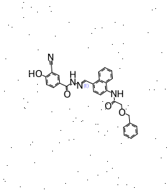 N#Cc1cc(C(=O)N/N=C/c2ccc(NC(=O)COCc3ccccc3)c3ccccc23)ccc1O